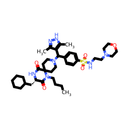 CCCCN1C(=O)[C@H](CC2CCCCC2)NC(=O)C12CCN(C(c1ccc(S(=O)(=O)NCCN3CCOCC3)cc1)c1c(C)n[nH]c1C)CC2